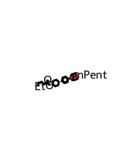 CC/C=C\CC(=O)O[C@H]1CC[C@H](c2ccc(C34CCC(CCCCC)(CC3)CC4)cc2)CC1